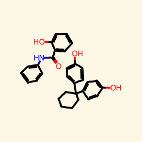 O=C(Nc1ccccc1)c1ccccc1O.Oc1ccc(C2(c3ccc(O)cc3)CCCCC2)cc1